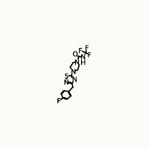 O=C(NC(F)(F)F)N1CCN(c2nc(Cc3ccc(F)cc3)ns2)CC1